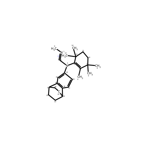 C/N=C/N(C1=C(C)C(C)(C)CCC1(C)C)c1ccc2c(c1)C1CCC2CC1